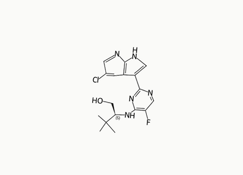 CC(C)(C)[C@@H](CO)Nc1nc(-c2c[nH]c3ncc(Cl)cc23)ncc1F